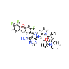 CN(C)C(C)(C)/C=C(/C#N)C(=O)N1CCC[C@H]1Cn1nc(-c2ccc(Oc3cccc(F)c3F)cc2F)c2c(N)ncnc21